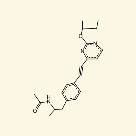 CCC(C)Oc1nccc(C#Cc2ccc(CC(C)NC(C)=O)cc2)n1